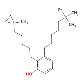 CCC(C)(C)CCCCCc1cccc(O)c1CCCCCC1(C)CC1